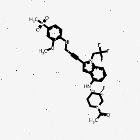 COc1cc(S(C)(=O)=O)ccc1NCC#Cc1cc2c(N[C@H]3CCN(C(C)=O)C[C@H]3F)cccc2n1CC(F)(F)F